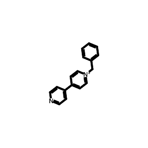 c1ccc(C[n+]2ccc(-c3ccncc3)cc2)cc1